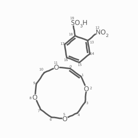 C1=COCCOCCOCCO1.O=[N+]([O-])c1ccccc1S(=O)(=O)O